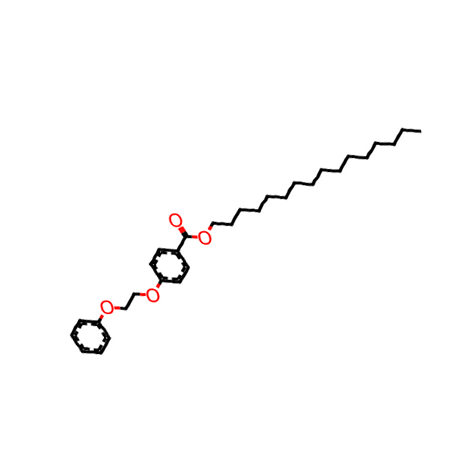 CCCCCCCCCCCCCCCCOC(=O)c1ccc(OCCOc2ccccc2)cc1